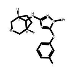 CC(C)n1nc(NC2[C@@H]3CC[C@H]2CNC3)nc1Oc1cccc(F)c1